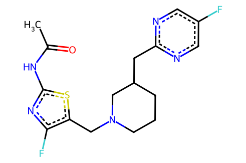 CC(=O)Nc1nc(F)c(CN2CCCC(Cc3ncc(F)cn3)C2)s1